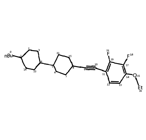 CCCCC1CCC(C2CCC(C#Cc3ccc(OCC)c(F)c3F)CC2)CC1